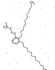 CCCCCCCCCCCCc1cccc(OSS[PH2]=S)c1CCCCCCCCCCCC